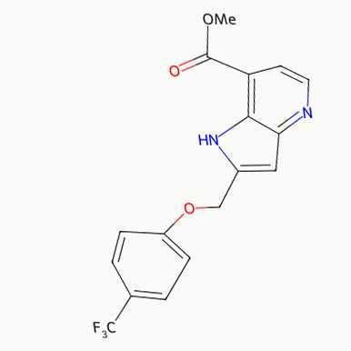 COC(=O)c1ccnc2cc(COc3ccc(C(F)(F)F)cc3)[nH]c12